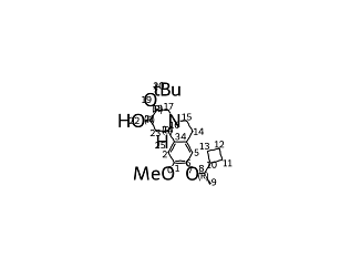 COc1cc2c(cc1O[C@H](C)C1CCC1)CCN1C[C@@H](OC(C)(C)C)[C@H](O)C[C@H]21